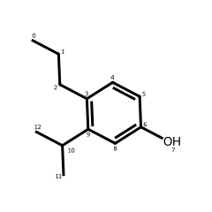 CCCc1ccc(O)cc1C(C)C